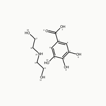 O=C(O)c1cc(O)c(O)c(O)c1.OCCNCCO